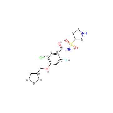 O=C(NS(=O)(=O)C1CCNC1)c1cc(Cl)c(OCC2CCCC2)cc1F